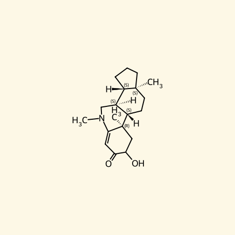 CN1C[C@H]2[C@@H]3CCC[C@@]3(C)CC[C@@H]2[C@@]2(C)CC(O)C(=O)C=C12